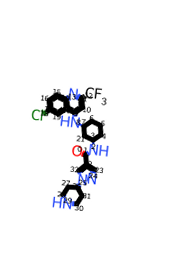 O=C(N[C@@H]1CCC[C@H](Nc2cc(C(F)(F)F)nc3ccc(Cl)cc23)C1)c1cnn(C2CCNCC2)c1